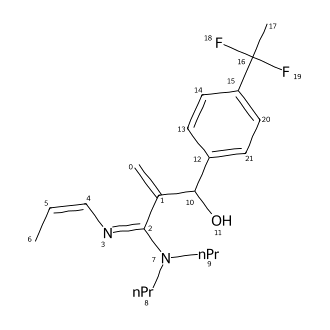 C=C(/C(=N\C=C/C)N(CCC)CCC)C(O)c1ccc(C(C)(F)F)cc1